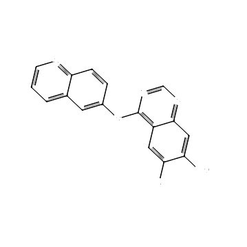 COc1cc2ncnc(Nc3ccc4ncccc4c3)c2cc1N